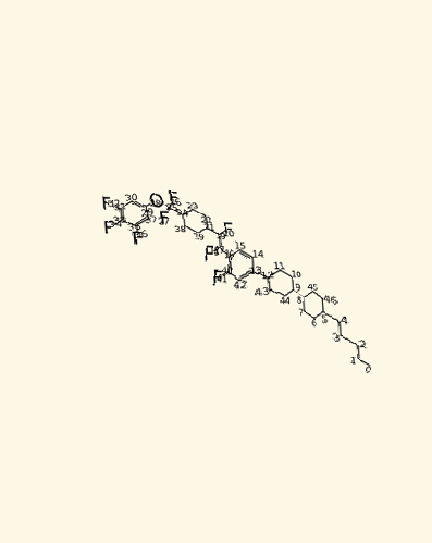 CCCCCC1CCC(C2CCC(c3ccc(/C(F)=C(\F)C4CCC(C(F)(F)Oc5cc(F)c(F)c(F)c5)CC4)c(F)c3)CC2)CC1